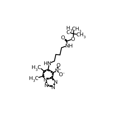 Cc1c(NCCCCNC(=O)OC(C)(C)C)c([N+](=O)[O-])c2nnnn2c1C